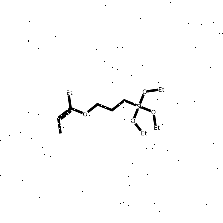 C/C=C(/CC)OCCC[Si](OCC)(OCC)OCC